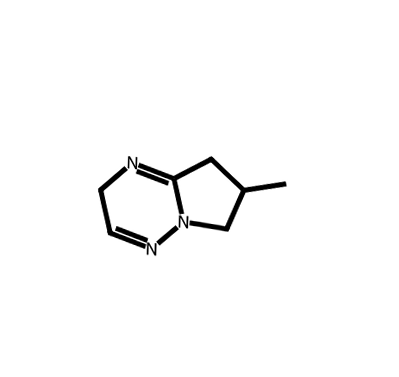 CC1CC2=NCC=NN2C1